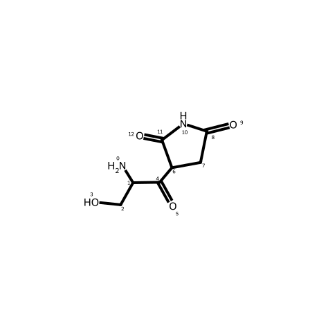 NC(CO)C(=O)C1CC(=O)NC1=O